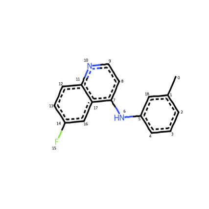 Cc1cccc(Nc2ccnc3ccc(F)cc23)c1